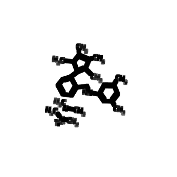 CC1=C(C)C(C)C(c2ccccc2CNc2cc(C)cc(C)c2)=C1C.C[N-]C.C[N-]C.[Ti+2]